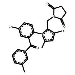 CCc1cc(C)n(-c2ccc(Cl)cc2C(=O)c2cccc(C)c2)c1CN1C(=O)CCC1=O